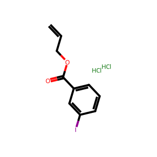 C=CCOC(=O)c1cccc(I)c1.Cl.Cl